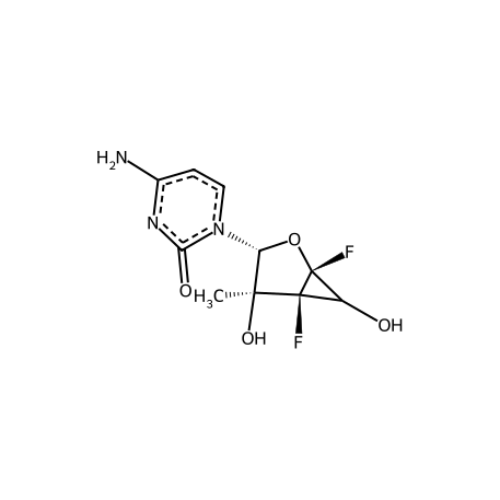 C[C@]1(O)[C@H](n2ccc(N)nc2=O)O[C@]2(F)C(O)[C@]12F